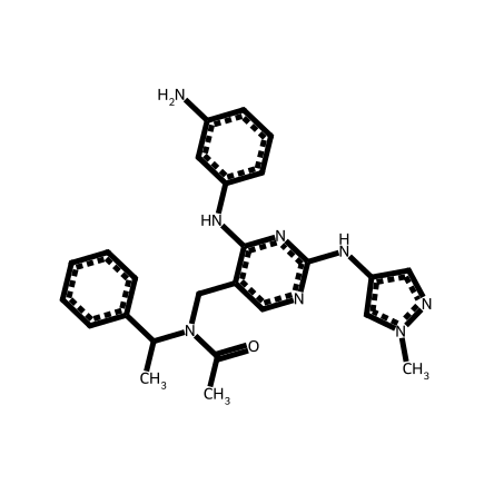 CC(=O)N(Cc1cnc(Nc2cnn(C)c2)nc1Nc1cccc(N)c1)C(C)c1ccccc1